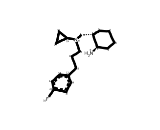 N[C@@H]1CCCC[C@H]1CN(CCCc1ccc(F)cc1)C1CC1